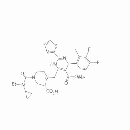 CCN(C(=O)N1CCN(CC2=C(C(=O)OC)[C@H](c3ccc(F)c(F)c3C)N=C(c3nccs3)N2)[C@H](C(=O)O)C1)C1CC1